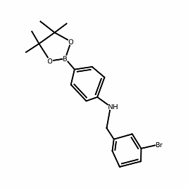 CC1(C)OB(c2ccc(NCc3cccc(Br)c3)cc2)OC1(C)C